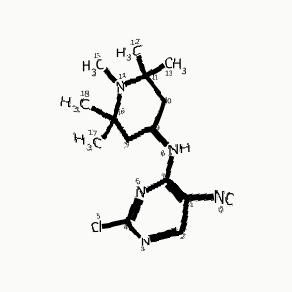 [C-]#[N+]c1cnc(Cl)nc1NC1CC(C)(C)N(C)C(C)(C)C1